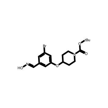 CC(C)(C)OC(=O)N1CCC(Oc2cc(Br)cc(C=NO)c2)CC1